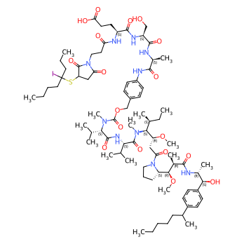 CCCCCC(C)c1ccc([C@H](O)[C@@H](C)NC(=O)[C@H](C)[C@@H](OC)[C@@H]2CCCN2C(=O)C[C@@H](OC)[C@H]([C@@H](C)CC)N(C)C(=O)[C@@H](NC(=O)[C@H](C(C)C)N(C)C(=O)OCc2ccc(NC(=O)[C@H](C)NC(=O)[C@H](CO)NC(=O)[C@H](CCC(=O)O)NC(=O)CCN3C(=O)CC(SC(I)(CCC)CCCC)C3=O)cc2)C(C)C)cc1